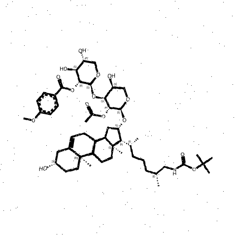 COc1ccc(C(=O)O[C@H]2[C@H](O[C@@H]3[C@@H](OC(C)=O)[C@H](O[C@H]4CC5C6CC=C7C[C@@H](O)CC[C@]7(C)C6CC[C@]5(C)[C@H]4[C@H](C)CCC[C@@H](C)CNC(=O)OC(C)(C)C)OC[C@@H]3O)OC[C@@H](O)[C@@H]2O)cc1